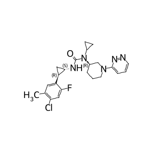 Cc1cc([C@H]2C[C@@H]2NC(=O)N(C2CC2)[C@@H]2CCCN(c3cccnn3)C2)c(F)cc1Cl